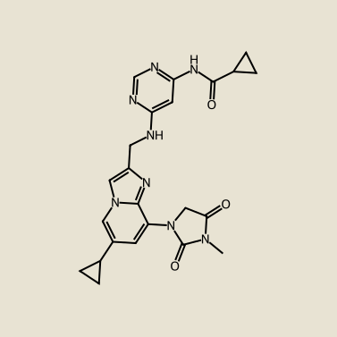 CN1C(=O)CN(c2cc(C3CC3)cn3cc(CNc4cc(NC(=O)C5CC5)ncn4)nc23)C1=O